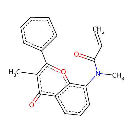 C=CC(=O)N(C)c1cccc2c(=O)c(C)c(-c3ccccc3)oc12